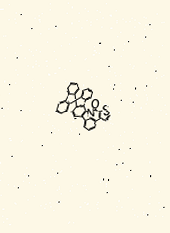 O=c1c2sccc2c2cccc3c4ccc5c(c4n1c23)-c1ccccc1C51c2ccccc2-c2ccccc21